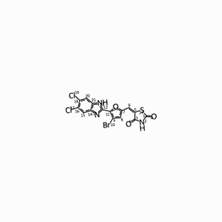 O=C1NC(=O)/C(=C\c2cc(Br)c(-c3nc4cc(Cl)c(Cl)cc4[nH]3)o2)S1